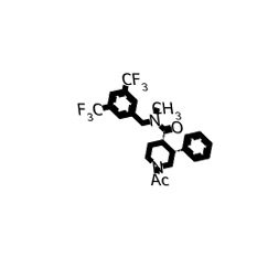 CC(=O)N1CC[C@H](C(=O)N(C)Cc2cc(C(F)(F)F)cc(C(F)(F)F)c2)[C@H](c2ccccc2)C1